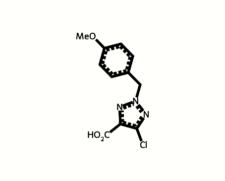 COc1ccc(Cn2nc(Cl)c(C(=O)O)n2)cc1